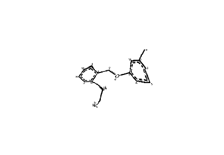 Cc1cccc(OCc2ccccc2CC#N)c1